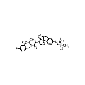 CCC(C)(C)CNc1ccc2c(c1)CC(=O)[C@]21OCN(CC(=O)N(Cc2ccc(F)cc2)[C@@H](C)C(F)(F)F)C1=O